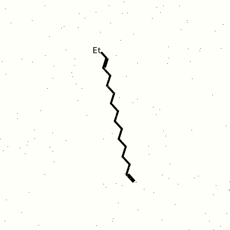 [CH]=CCCCCCCCCCCCC=CCC